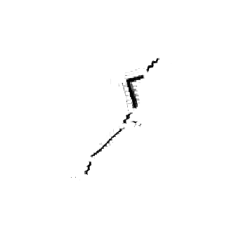 CCCCCCCOCC(F)(F)C(F)(F)C(F)(F)C(C)(F)C(F)(F)C(F)(F)C(F)(F)C(F)(F)C(F)(F)C(F)(F)COCCC(CCOCC(F)(F)C(F)(F)C(F)(F)C(F)(F)C(F)(F)C(F)(F)C(F)(F)C(F)(F)C(F)(F)C(F)(F)COCCCCCCC)OCCN(C)C